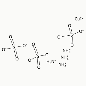 O=S(=O)([O-])[O-].O=S(=O)([O-])[O-].O=S(=O)([O-])[O-].[Cu+2].[NH4+].[NH4+].[NH4+].[NH4+]